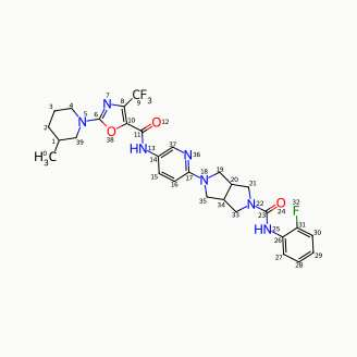 CC1CCCN(c2nc(C(F)(F)F)c(C(=O)Nc3ccc(N4CC5CN(C(=O)Nc6ccccc6F)CC5C4)nc3)o2)C1